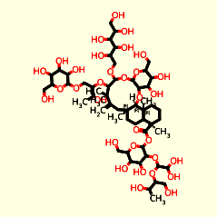 C=C1C[C@@]2(C)CCC3[C@](C)(C(=O)OC4OC(CO)C(O)C(O)C4OC(OC(CO)C(C)O)C(O)O)CCC[C@@]3(C)[C@@H]2OC2C(OC(CO)C(O)C2O)OC(OCC(O)C(O)C(O)C(O)CO)C(OC(COC2OC(CO)C(O)C(O)C2O)C(C)O)C1(C)C